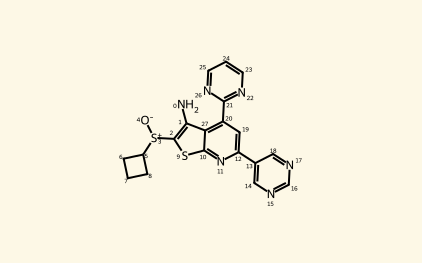 Nc1c([S+]([O-])C2CCC2)sc2nc(-c3cncnc3)cc(-c3ncccn3)c12